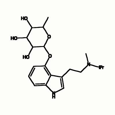 CC1OC(Oc2cccc3[nH]cc(CCN(C)C(C)C)c23)C(O)C(O)C1O